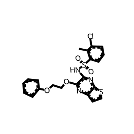 Cc1c(Cl)cccc1S(=O)(=O)Nc1nc2sccc2nc1OCCOc1ccccc1